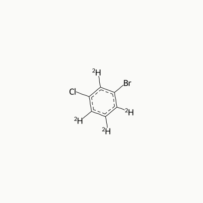 [2H]c1c([2H])c(Cl)c([2H])c(Br)c1[2H]